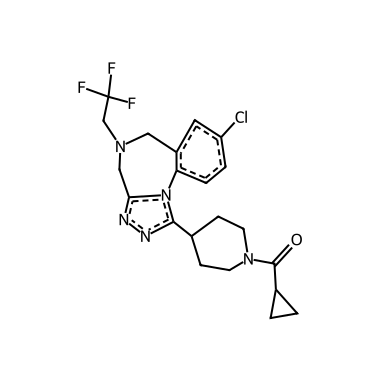 O=C(C1CC1)N1CCC(c2nnc3n2-c2ccc(Cl)cc2CN(CC(F)(F)F)C3)CC1